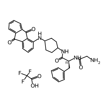 NCC(=O)N[C@@H](Cc1ccccc1)C(=O)NC1CCC(Nc2cccc3c2C(=O)c2ccccc2C3=O)CC1.O=C(O)C(F)(F)F